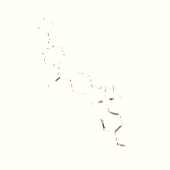 CC(=O)c1ccc(S(=O)(=O)NC2CCC(C(=O)N3CCN(C4CCC4)CC3)CC2)cc1